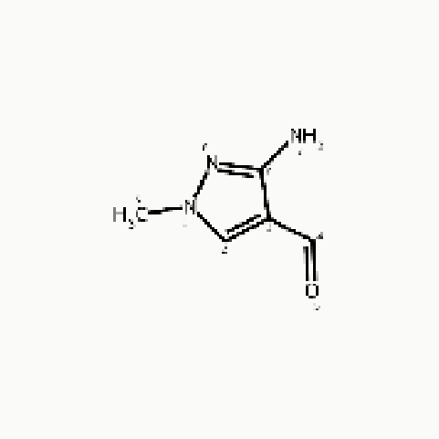 Cn1cc(C=O)c(N)n1